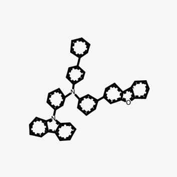 c1ccc(-c2ccc(N(c3cccc(-c4ccc5c(c4)oc4ccccc45)c3)c3cccc(-n4c5ccccc5c5ccccc54)c3)cc2)cc1